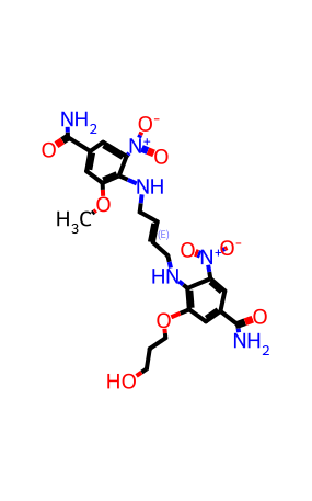 COc1cc(C(N)=O)cc([N+](=O)[O-])c1NC/C=C/CNc1c(OCCCO)cc(C(N)=O)cc1[N+](=O)[O-]